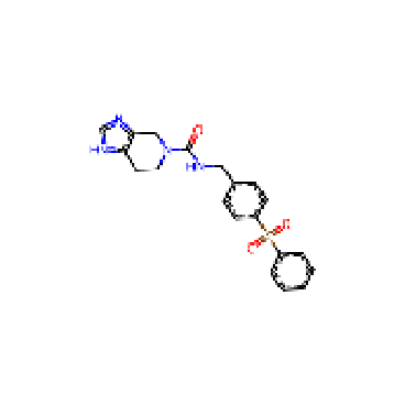 O=C(NCc1ccc(S(=O)(=O)c2ccccc2)cc1)N1CCc2[nH]cnc2C1